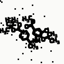 COC(=O)c1cc(Cl)c(OC(C)C)c(NC(C)C2CCN(C(=O)OC(C)(C)C)CC2)c1